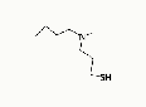 CCCCN(C)CCCS